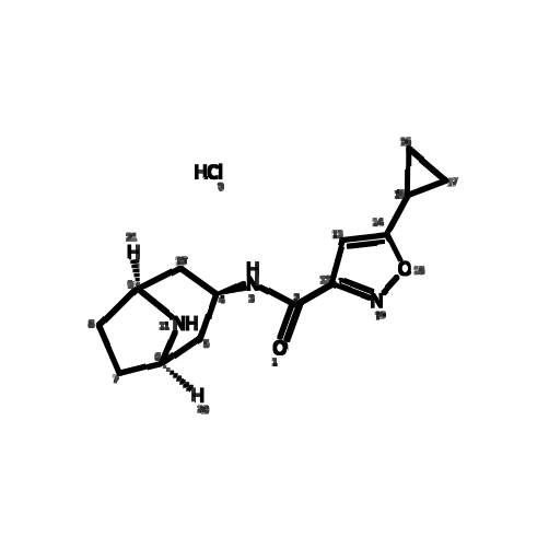 Cl.O=C(N[C@H]1C[C@H]2CC[C@@H](C1)N2)c1cc(C2CC2)on1